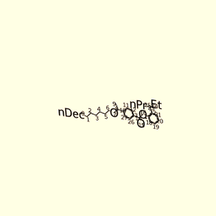 CCCCCCCCCCCCCCCCOC(C)c1ccc(C(=O)Oc2ccccc2C(CC)CCC)cc1